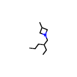 CCCC(CC)CN1CC(C)C1